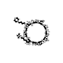 CC[C@@H]1NC(=O)[C@H]([C@H](O)[C@H](C)CCCCOS(C)(=O)=O)NC(=O)[C@H](C(C)C)N(C)C(=O)[C@H](CC(C)C)N(C)C(=O)[C@H](CC(C)C)N(C)C(=O)[C@@H](C)NC(=O)[C@H](C)NC(=O)[C@H](CC(C)C)N(C)C(=O)[C@H](C(C)C)NC(=O)[C@H]([C@@H](C)OCCCCN2CCOCC2)N(C)C(=O)[C@@H](C)N(C)C1=O